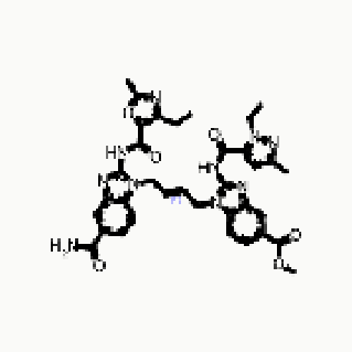 CCc1nc(C)oc1C(=O)Nc1nc2cc(C(N)=O)ccc2n1C/C=C/Cn1c(NC(=O)c2cc(C)nn2CC)nc2cc(C(=O)OC)ccc21